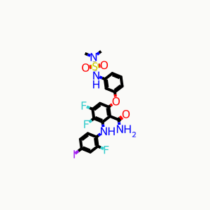 CN(C)S(=O)(=O)Nc1cccc(Oc2cc(F)c(F)c(Nc3ccc(I)cc3F)c2C(N)=O)c1